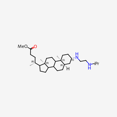 COC(=O)CC[C@@H](C)C1CCC2C3CC[C@@H]4C[C@@H](NCCNC(C)C)CC[C@]4(C)C3CC[C@@]21C